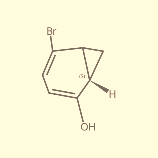 OC1=CC=C(Br)C2C[C@H]12